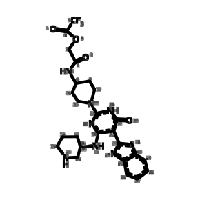 O=C(COC(=O)C(F)(F)F)NC1CCN(c2nc(N[C@@H]3CCCNC3)c(-c3nc4ccccc4s3)c(=O)[nH]2)CC1